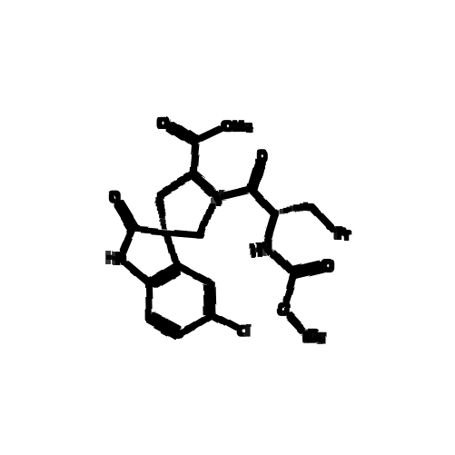 COC(=O)C1C[C@@]2(CN1C(=O)[C@H](CC(C)C)NC(=O)OC(C)(C)C)C(=O)Nc1ccc(Cl)cc12